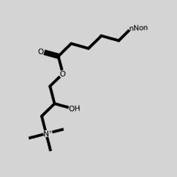 CCCCCCCCCCCCCC(=O)OCC(O)C[N+](C)(C)C